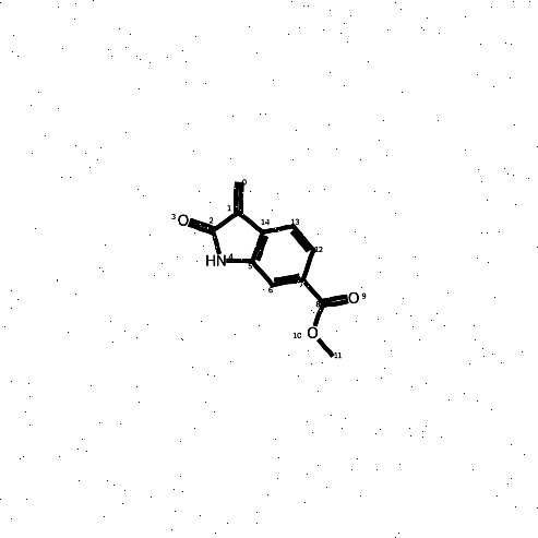 C=C1C(=O)Nc2cc(C(=O)OC)ccc21